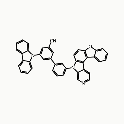 N#Cc1cc(-c2cccc(-n3c4cnccc4c4c5c(ccc43)oc3ccccc35)c2)cc(-n2c3ccccc3c3ccccc32)c1